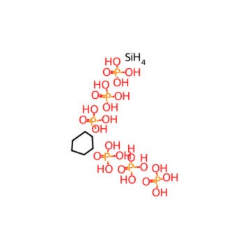 C1CCCCC1.O=P(O)(O)O.O=P(O)(O)O.O=P(O)(O)O.O=P(O)(O)O.O=P(O)(O)O.O=P(O)(O)O.[SiH4]